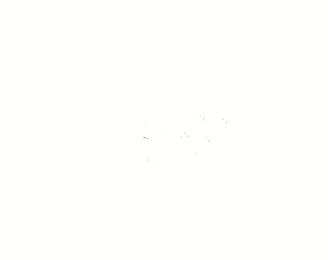 NC1=NC(=C=O)N([C@H]2C[C@H](O)[C@@H](COPOc3ccccc3)O2)C=N1